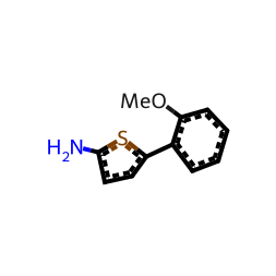 COc1ccccc1-c1ccc(N)s1